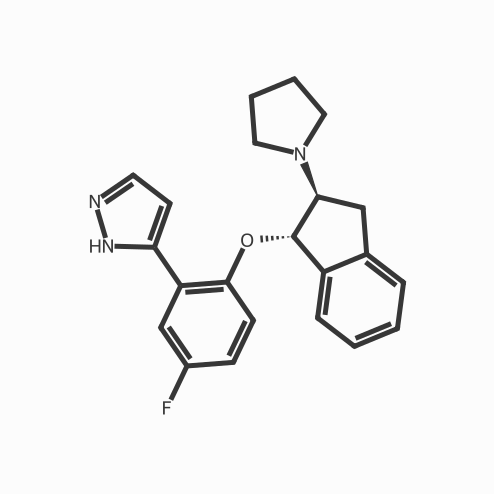 Fc1ccc(O[C@H]2c3ccccc3C[C@@H]2N2CCCC2)c(-c2ccn[nH]2)c1